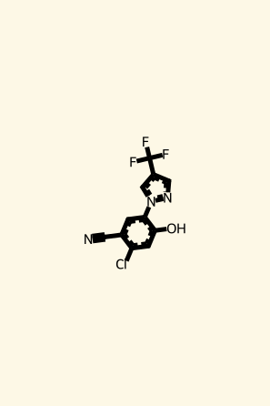 N#Cc1cc(-n2cc(C(F)(F)F)cn2)c(O)cc1Cl